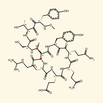 CCCON[C@@H](CCCNC(N)N)C(=O)N[C@@H](CCC(=O)O)C(=O)N[C@@H](CCC(N)=O)C(=O)N[C@@H](CCC(N)=O)C(=O)C(=O)[C@H](Cc1ccc(O)cc1)NC(=O)[C@H](CC(N)=O)NN[C@@H](CO)C(=O)N[C@H](C(=O)C(=O)[C@H](Cc1ccc(O)cc1)NOC)[C@@H](C)O